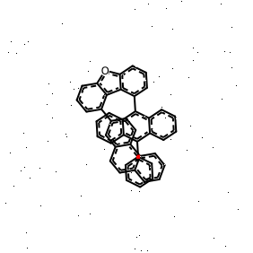 c1ccc(-c2c3ccccc3c(-c3cccc4oc5cccc(-c6ccc7c(ccc8ccccc87)c6)c5c34)c3ccccc23)cc1